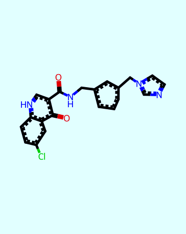 O=C(NCc1cccc(Cn2ccnc2)c1)c1c[nH]c2ccc(Cl)cc2c1=O